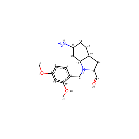 COc1ccc(CN2C(C=O)CC3CCC(N)CC32)c(OC)c1